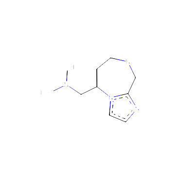 CN(C)CC1CCNCc2nccn21